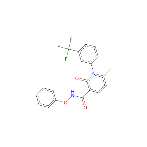 Cc1ccc(C(=O)NOc2ccccc2)c(=O)n1-c1cccc(C(F)(F)F)c1